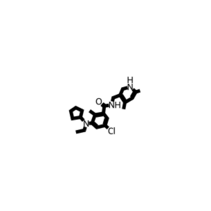 CCN(c1cc(Cl)cc(C(=O)NCC2=C(C)C=C(C)NC2)c1C)C1CCCC1